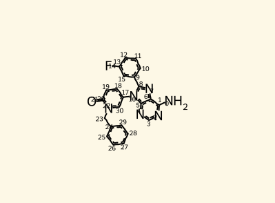 Nc1ncnc2c1nc(-c1cccc(F)c1)n2-c1ccc(=O)n(Cc2ccccc2)c1